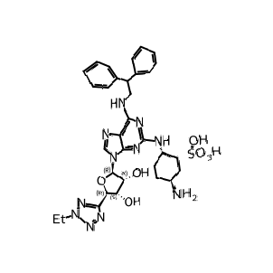 CCn1nnc([C@H]2O[C@@H](n3cnc4c(NCC(c5ccccc5)c5ccccc5)nc(N[C@H]5CC[C@H](N)CC5)nc43)[C@H](O)[C@@H]2O)n1.O=S(=O)(O)O